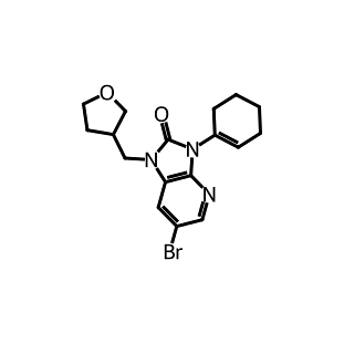 O=c1n(CC2CCOC2)c2cc(Br)cnc2n1C1=CCCCC1